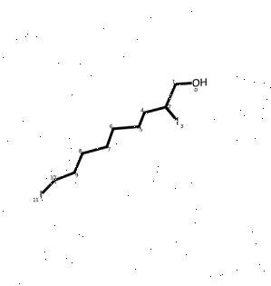 OCC(I)CCCCCCCI